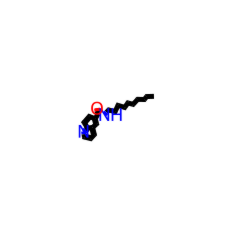 CCCCCCCCCCNC(=O)c1ccc2ncccc2c1